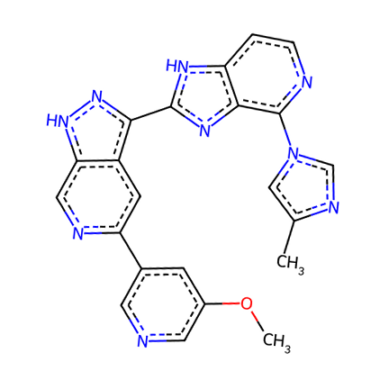 COc1cncc(-c2cc3c(-c4nc5c(-n6cnc(C)c6)nccc5[nH]4)n[nH]c3cn2)c1